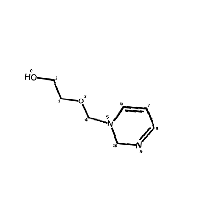 OCCOCN1C=CC=NC1